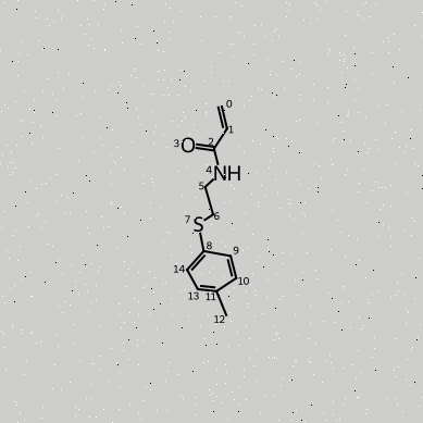 C=CC(=O)NCCSc1ccc(C)cc1